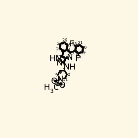 CS(=O)(=O)N1CCC(Nc2n[nH]c3c2nc(-c2c(F)cccc2F)c2ccccc23)CC1